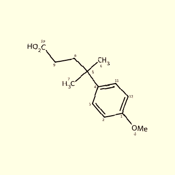 COc1ccc(C(C)(C)CCC(=O)O)cc1